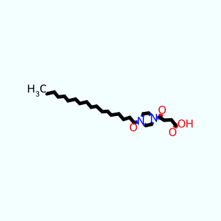 CCCCCCCCCCCCCCCCCC(=O)N1CCN(C(=O)CCC(=O)O)CC1